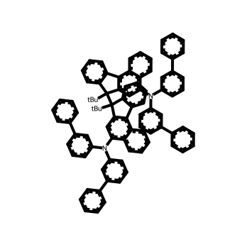 CC(C)(C)C1(C2(C(C)(C)C)c3ccccc3-c3c2cc(N(c2cccc(-c4ccccc4)c2)c2cccc(-c4ccccc4)c2)c2ccccc32)c2ccccc2-c2c1cc(N(c1cccc(-c3ccccc3)c1)c1cccc(-c3ccccc3)c1)c1ccccc21